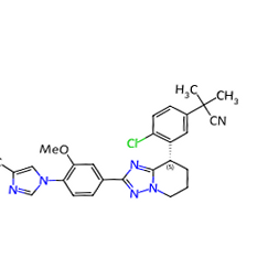 COc1cc(-c2nc3n(n2)CCC[C@H]3c2cc(C(C)(C)C#N)ccc2Cl)ccc1-n1cnc(C)c1